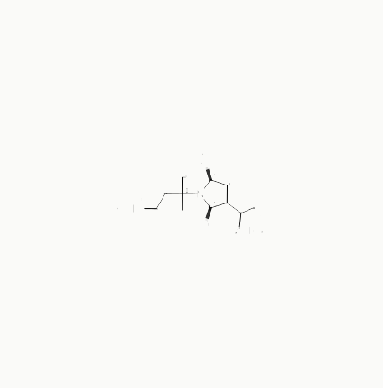 CCCCCCC(CC)C1CC(=O)N(C(C)(C)CCC=O)C1=O